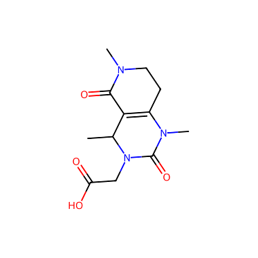 CC1C2=C(CCN(C)C2=O)N(C)C(=O)N1CC(=O)O